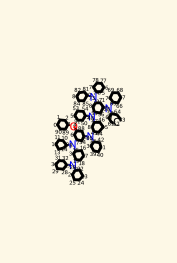 c1ccc(Oc2cc(N(c3ccccc3)c3cccc(N(c4ccccc4)c4ccccc4)c3)cc(N(c3ccccc3)c3cccc(N(c4ccccc4)c4cc(N(c5ccccc5)c5ccccc5)cc(N(c5ccccc5)c5ccccc5)c4)c3)c2)cc1